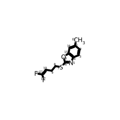 Cc1ccc2nc(SCCC=C(F)F)oc2c1